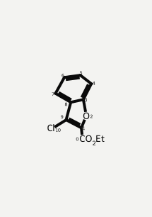 CCOC(=O)c1oc2ccccc2c1Cl